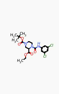 CCOC(=O)C1CN(C(=O)OC(C)(C)C)CCN1C(=O)Nc1cc(Cl)cc(Cl)c1